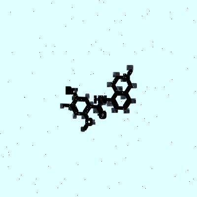 COc1cc(C)c(Br)cc1C(=O)Nc1cccc2c1CCN(C)C2